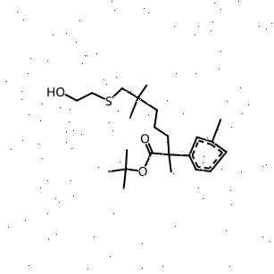 Cc1cccc(C(C)(CCCC(C)(C)CSCCO)C(=O)OC(C)(C)C)c1